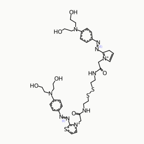 O=C(C[N+]1=C(/N=N/c2ccc(N(CCO)CCO)cc2)CC=C1)NCCSSCCNC(=O)C[n+]1ccsc1/N=N/c1ccc(N(CCO)CCO)cc1